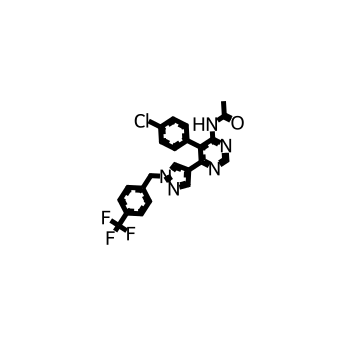 CC(=O)Nc1ncnc(-c2cnn(Cc3ccc(C(F)(F)F)cc3)c2)c1-c1ccc(Cl)cc1